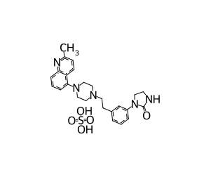 Cc1ccc2c(N3CCN(CCc4cccc(N5CCNC5=O)c4)CC3)cccc2n1.O=S(=O)(O)O